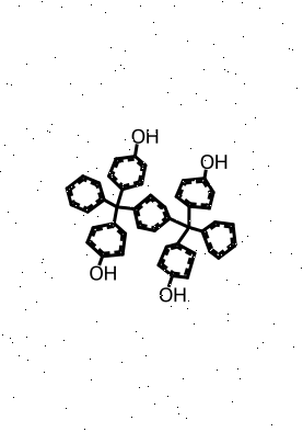 Oc1ccc(C(c2ccccc2)(c2ccc(O)cc2)c2ccc(C(c3ccccc3)(c3ccc(O)cc3)c3ccc(O)cc3)cc2)cc1